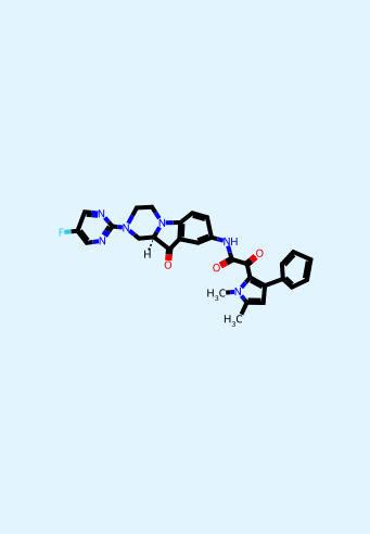 Cc1cc(-c2ccccc2)c(C(=O)C(=O)Nc2ccc3c(c2)C(=O)[C@H]2CN(c4ncc(F)cn4)CCN32)n1C